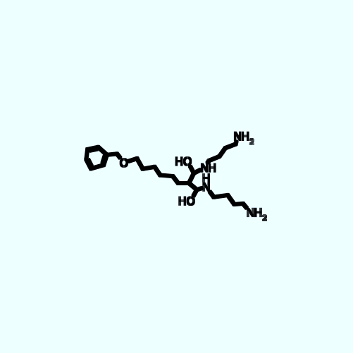 NCCCCNC(O)C(CCCCCCOCc1ccccc1)C(O)NCCCCN